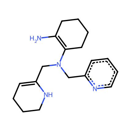 NC1=C(N(CC2=CCCCN2)Cc2ccccn2)CCCC1